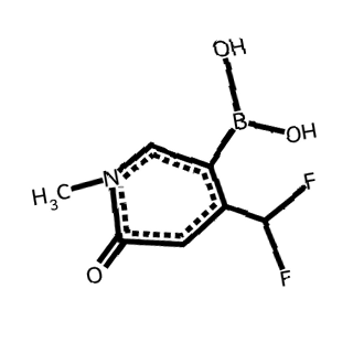 Cn1cc(B(O)O)c(C(F)F)cc1=O